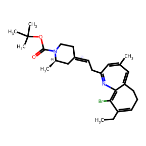 CCC1=CCCC2=CC(C)=CC(C/C=C3/CCN(C(=O)OC(C)(C)C)[C@H](C)C3)=NC2=C1Br